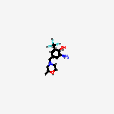 CC1CN(Cc2cc(N)c(O)c(C(F)(F)F)c2)CCO1